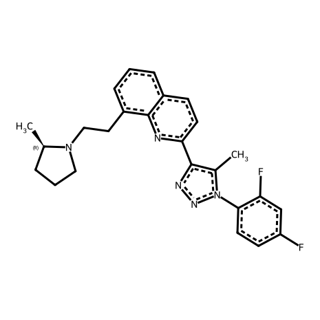 Cc1c(-c2ccc3cccc(CCN4CCC[C@H]4C)c3n2)nnn1-c1ccc(F)cc1F